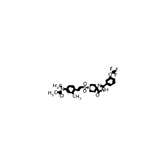 CC(=O)N(C)c1ccc(C=CS(=O)(=O)N2CCC3(CC2)N=C(c2cccc(OC(F)(F)F)c2)NC3=O)c(C)c1